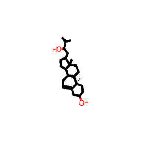 CC(C)C(O)CC1CCC2C3CC=C4CC(O)CC[C@]4(C)C3CCC12C